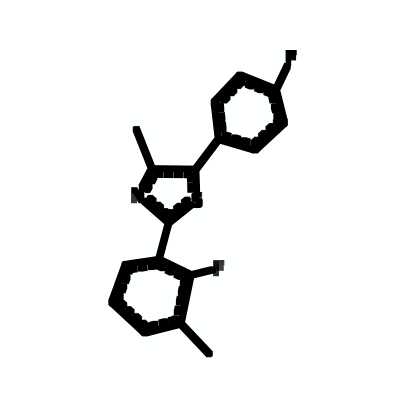 Cc1cccc(-c2nc(C)c(-c3ccc(F)cc3)s2)c1F